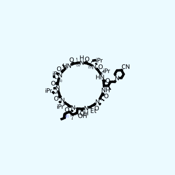 C/C=C/C[C@@H](C)[C@@H](O)[C@H]1C(=O)N[C@@H](CC)C(=O)N(C)[C@H](C)C(=O)N[C@@H]([C@H](C)CCN2CCC(C#N)CC2)C(=O)N[C@@H](C(C)C)C(=O)N(C)[C@@H](CC(C)C)C(=O)N[C@@H](C)C(=O)N[C@H](C)C(=O)N(C)[C@@H](CC(C)C)C(=O)N(C)[C@@H](CC(C)C)C(=O)N(C)[C@@H](C(C)C)C(=O)N1C